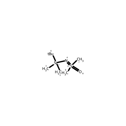 CC(C)(C)[Si](C)(C)N=S(C)(C)=O